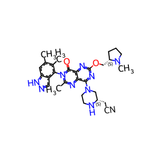 Cc1cc2[nH]ncc2c(-n2c(C)nc3c(N4CCN[C@@H](CC#N)C4)nc(OC[C@@H]4CCCN4C)nc3c2=O)c1C